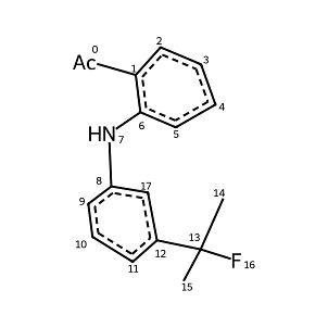 CC(=O)c1ccccc1Nc1cccc(C(C)(C)F)c1